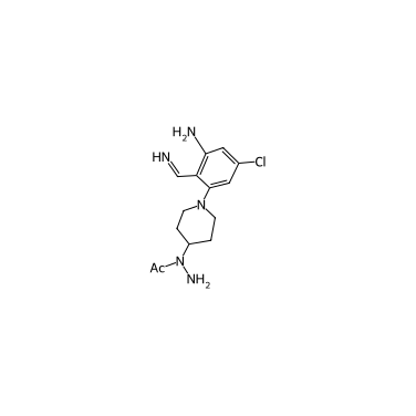 CC(=O)N(N)C1CCN(c2cc(Cl)cc(N)c2C=N)CC1